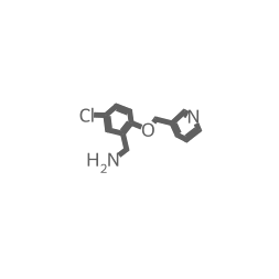 NCc1cc(Cl)ccc1OCc1cccnc1